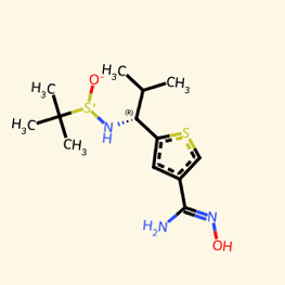 CC(C)[C@@H](N[S+]([O-])C(C)(C)C)c1cc(C(N)=NO)cs1